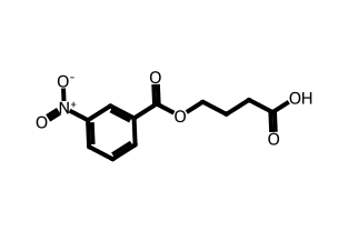 O=C(O)CCCOC(=O)c1cccc([N+](=O)[O-])c1